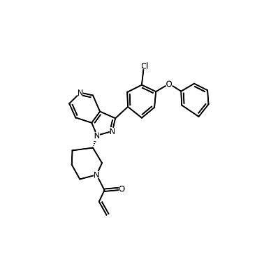 C=CC(=O)N1CCC[C@H](n2nc(-c3ccc(Oc4ccccc4)c(Cl)c3)c3cnccc32)C1